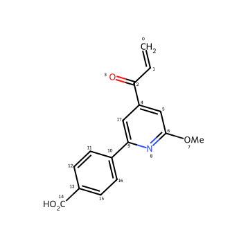 C=CC(=O)c1cc(OC)nc(-c2ccc(C(=O)O)cc2)c1